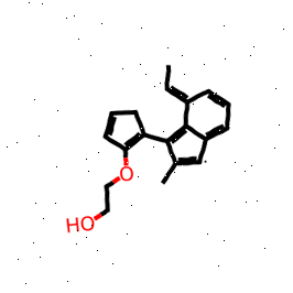 CC=c1cccc2c1=C(C1=C(OCCO)C=CC1)C(C)=[C]2